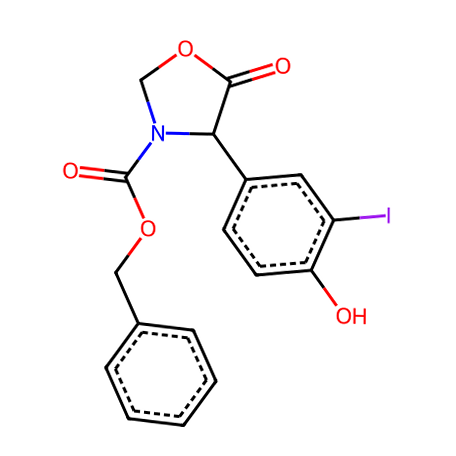 O=C1OCN(C(=O)OCc2ccccc2)C1c1ccc(O)c(I)c1